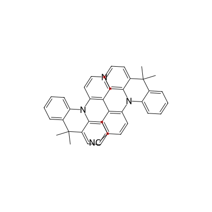 CC1(C)c2ccccc2N(c2ccncc2-c2cc(C#N)ccc2N2c3ccccc3C(C)(C)c3ccccc32)c2ccccc21